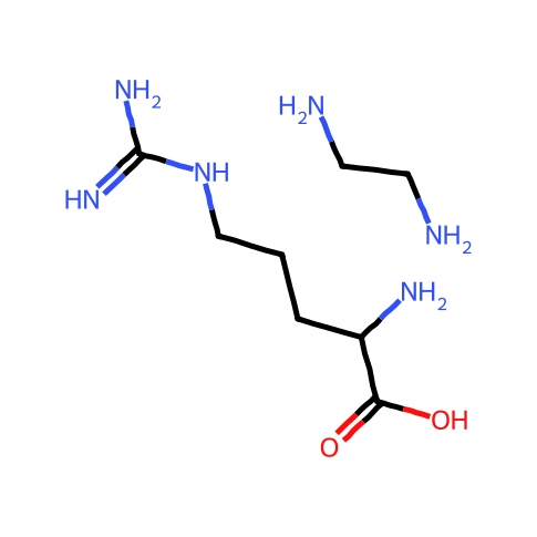 N=C(N)NCCCC(N)C(=O)O.NCCN